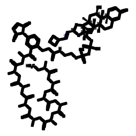 CN(CC(=O)O)C(=O)CN(C)C(=O)CN(C)C(=O)CN(C)C(=O)CN(C)C(=O)CN(C)C(=O)CN(C)C(=O)CN(C)C(=O)CN(C)C(=O)CN(C)C(=O)c1cc(N2C(=O)C=CC2=O)ccc1CCC(=O)NCCOP(=O)(O)OP(=O)(O)OCC(=O)[C@@]12O[C@H](/C=C/C3CCC3)O[C@@H]1C[C@H]1[C@@H]3CCC4=CC(=O)C=C[C@]4(C)[C@H]3[C@@H](O)C[C@@]12C